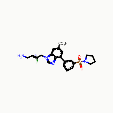 NC/C=C(\F)Cn1cnc2c(-c3cccc(S(=O)(=O)N4CCCC4)c3)cc(C(=O)O)cc21